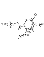 CCOC(=O)COc1cc(F)c(N)cc1NC(C)=O